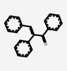 O=C(/C(=C/c1ccccc1)c1ccccc1)c1ccccc1